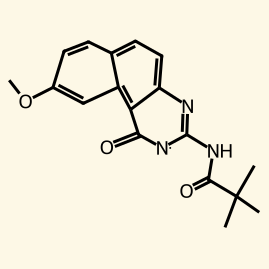 COc1ccc2ccc3c(c2c1)C(=O)[N]C(NC(=O)C(C)(C)C)=N3